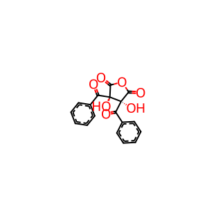 O=C1OC(=O)[C@@](O)(C(=O)c2ccccc2)[C@]1(O)C(=O)c1ccccc1